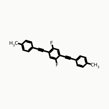 Cc1ccc(C#Cc2cc(F)c(C#Cc3ccc(C)cc3)cc2F)cc1